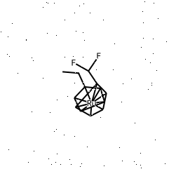 CC[C]12[CH]3[CH]4[CH]5[CH]1[Ru]45321678[CH]2[CH]1[CH]6[C]7(C(F)F)[CH]28